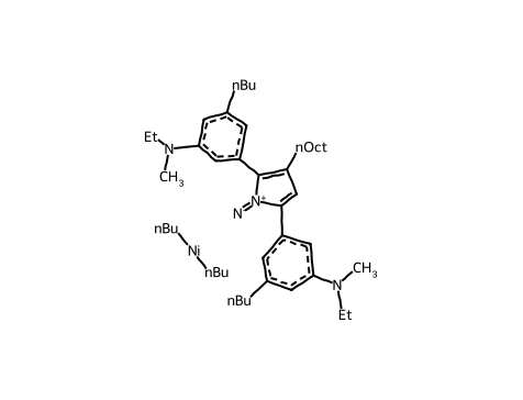 CCCCCCCCC1=C(c2cc(CCCC)cc(N(C)CC)c2)[N+](=[N-])C(c2cc(CCCC)cc(N(C)CC)c2)=C1.CCC[CH2][Ni][CH2]CCC